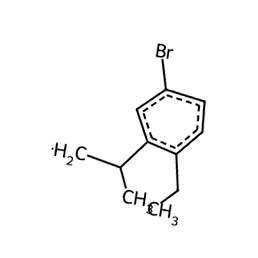 [CH2]C(C)c1cc(Br)ccc1CC